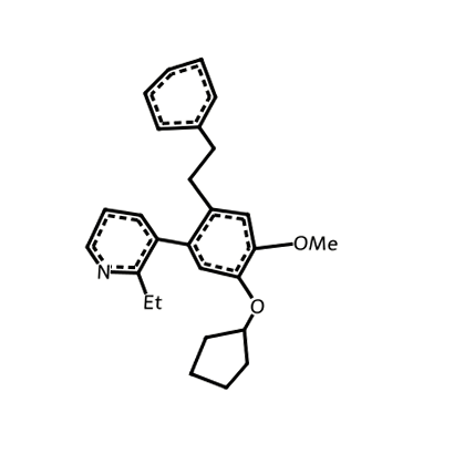 CCc1ncccc1-c1cc(OC2CCCC2)c(OC)cc1CCc1ccccc1